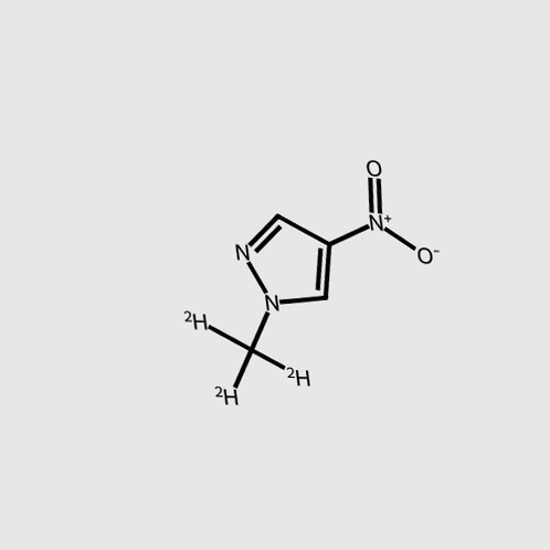 [2H]C([2H])([2H])n1cc([N+](=O)[O-])cn1